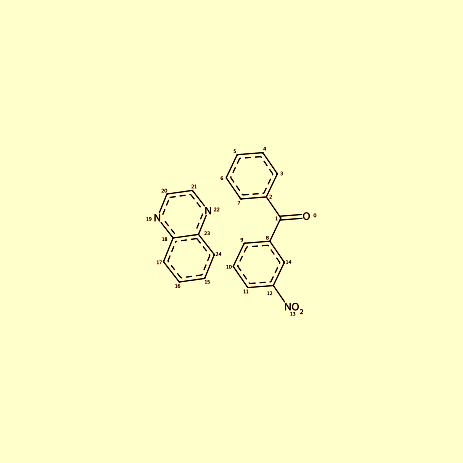 O=C(c1ccccc1)c1cccc([N+](=O)[O-])c1.c1ccc2nccnc2c1